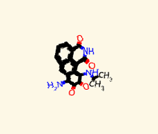 CC(C)NC1=c2c3c4c(cccc4cc2=C(N)C(=O)C1=O)C(=O)NC3=O